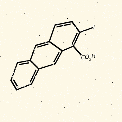 O=C(O)c1c(I)ccc2cc3ccccc3cc12